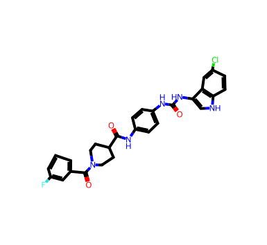 O=C(Nc1ccc(NC(=O)C2CCN(C(=O)c3cccc(F)c3)CC2)cc1)Nc1c[nH]c2ccc(Cl)cc12